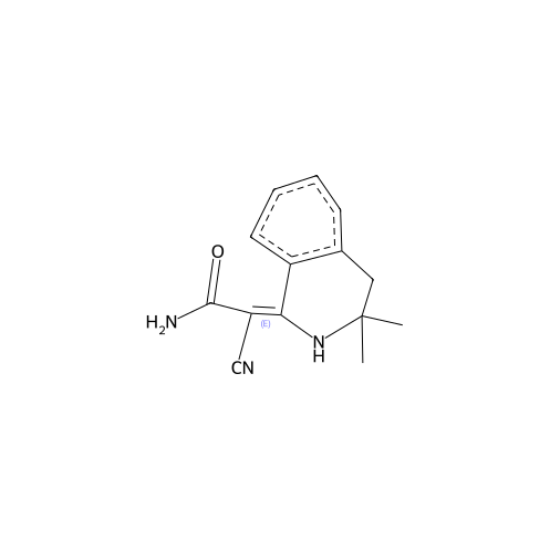 CC1(C)Cc2ccccc2/C(=C(/C#N)C(N)=O)N1